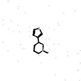 CN1CCCC(c2ccsc2)C1